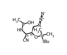 CB(O)N[C@H](C#N)[C@@H](CN=[N+]=[N-])O[Si](C)(C)C(C)(C)C